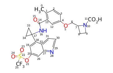 Cc1ccc(OCC2CCN2C(=O)O)cc1C(=O)NC1(c2cc(OS(=O)(=O)C(F)(F)F)cc3ncccc23)CC1